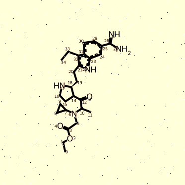 CCOC(=O)CN(C1CC1)C(C)C(=O)C1CCN[C@H]1CCc1[nH]c2cc(C(=N)N)ccc2c1CC